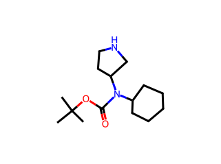 CC(C)(C)OC(=O)N(C1CCCCC1)C1CCNC1